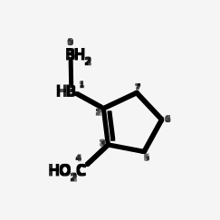 BBC1=C(C(=O)O)CCC1